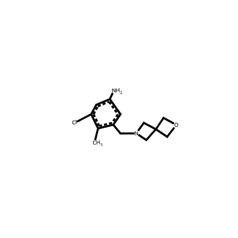 Cc1c(Cl)cc(N)cc1CN1CC2(COC2)C1